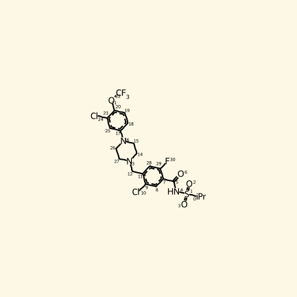 CC(C)S(=O)(=O)NC(=O)c1cc(Cl)c(CN2CCN(c3ccc(OC(F)(F)F)c(Cl)c3)CC2)cc1F